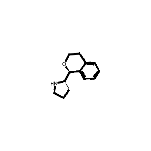 c1ccc2c(c1)CCO[C@@H]2[C@@H]1CCCN1